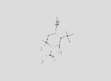 [2H]C1([2H])CC(C#N)C(C(C)(C)C)C([2H])([2H])N1C(=O)OC